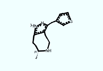 C[C@@H]1Cc2[nH]nc(-c3ccsc3)c2CN1